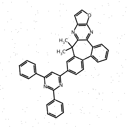 CC1(C)c2cc(-c3cc(-c4ccccc4)nc(-c4ccccc4)n3)ccc2-c2ccccc2-c2nc3occc3nc21